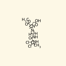 COC(=O)c1sc(N2C[C@@H]3C(NC(=O)c4[nH]c(C)c(Cl)c4Cl)[C@@H]3C2)nc1CC(=O)O